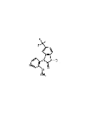 COc1cnccc1N1C(=O)C(C)c2ccc(C(F)(F)F)cc21